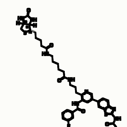 CC(=O)Nc1nc2ccc(-c3cnc(CCCNC(=O)CCCCCNC(=O)CCCC[C@@H]4SC[C@@H]5NC(=O)N[C@@H]54)c(NC(=O)c4cccc(F)c4)c3)cc2s1